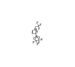 FC(F)(F)Cn1ccc(B2OC(F)(F)C(F)(F)O2)n1